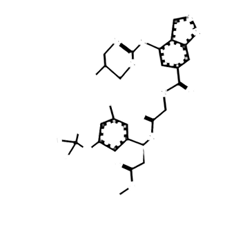 COC(=O)C[C@H](NC(=O)CNC(=O)c1cc(NC2=NCC(F)CN2)c2cn[nH]c2c1)c1cc(Cl)cc(OC(F)(F)F)c1